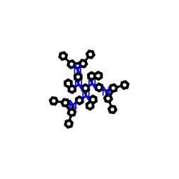 c1ccc(-c2ccc3c(c2)c2cc(-c4ccccc4)ccc2n3-c2ccc(N(c3cc(N(c4ccc(-n5c6ccc(-c7ccccc7)cc6c6cc(-c7ccccc7)ccc65)cc4)c4cccc5ccccc45)cc(N(c4ccc(-n5c6ccc(-c7ccccc7)cc6c6cc(-c7ccccc7)ccc65)cc4)c4cccc5ccccc45)c3)c3cccc4ccccc34)cc2)cc1